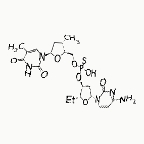 CC[C@H]1O[C@@H](n2ccc(N)nc2=O)C[C@@H]1OP(O)(=S)OC[C@H]1O[C@@H](n2cc(C)c(=O)[nH]c2=O)C[C@@H]1C